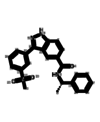 C[C@H](NC(=O)c1ccc2[nH]nc(-c3cccc(S(C)(=O)=O)c3)c2c1)c1ccccc1